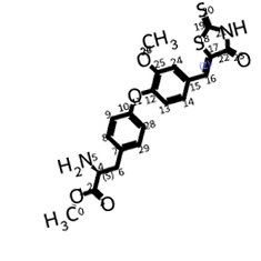 COC(=O)[C@@H](N)Cc1ccc(Oc2ccc(/C=C3\SC(=S)NC3=O)cc2OC)cc1